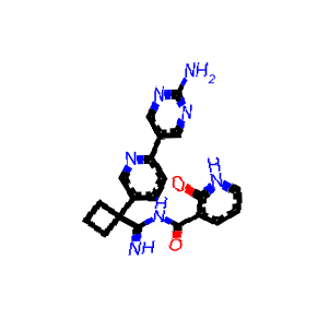 N=C(NC(=O)c1ccc[nH]c1=O)C1(c2ccc(-c3cnc(N)nc3)nc2)CCC1